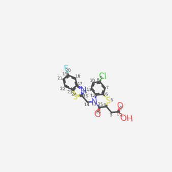 O=C(O)CC1Sc2cc(Cl)ccc2N(Cc2nc3cc(F)ccc3s2)C1=O